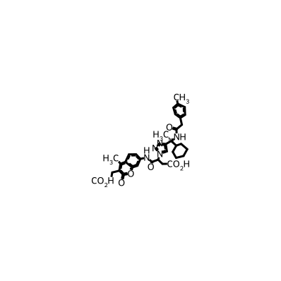 Cc1ccc(CC(=O)N[C@](C)(c2cn(C(CC(=O)O)C(=O)Nc3ccc4c(C)c(CC(=O)O)c(=O)oc4c3)nn2)C2CCCCC2)cc1